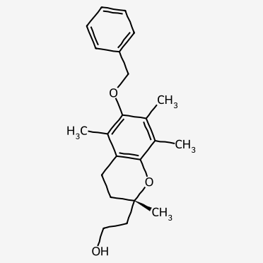 Cc1c(C)c2c(c(C)c1OCc1ccccc1)CC[C@@](C)(CCO)O2